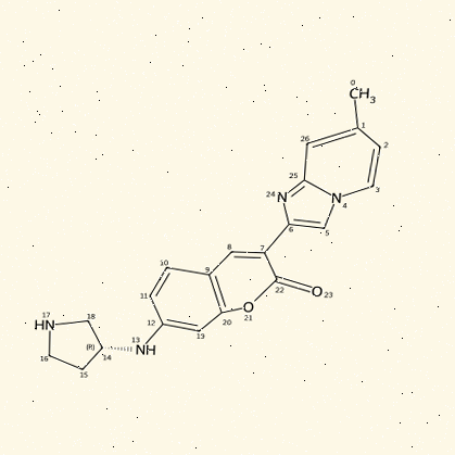 Cc1ccn2cc(-c3cc4ccc(N[C@@H]5CCNC5)cc4oc3=O)nc2c1